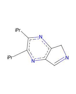 CC(C)c1nc2c(nc1C(C)C)CN=C2